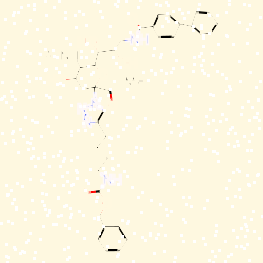 COC(=O)C1(n2cc(CCCCNC(=O)OCc3ccccc3)nn2)CC(O)C(NC(C)=O)C([C@@H](O)[C@H](O)CNC(=O)c2ccc(-c3ccccc3)cc2)O1